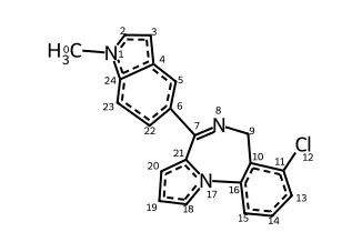 Cn1ccc2cc(C3=NCc4c(Cl)cccc4-n4cccc43)ccc21